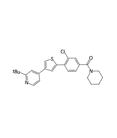 CC(C)(C)c1cc(-c2csc(-c3ccc(C(=O)N4CCCCC4)cc3Cl)c2)ccn1